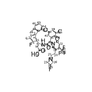 Cc1cc2cc(c1F)[C@H](CC(=O)O)NC(=O)[C@@H](n1cc(CCN3CC(F)C3)c(C(F)(F)F)cc1=O)c1cc(Cl)cc(c1)Oc1cccc(C)c1-2